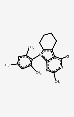 Cc1cc(C)c(-n2c3c(c4c(Cl)nc(C)nc42)CCCC3)c(C)c1